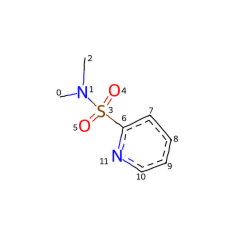 CN(C)S(=O)(=O)c1ccccn1